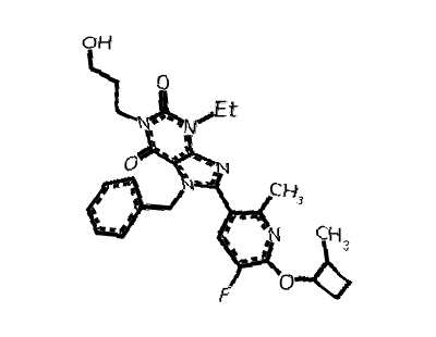 CCn1c(=O)n(CCCO)c(=O)c2c1nc(-c1cc(F)c(OC3CCC3C)nc1C)n2Cc1ccccc1